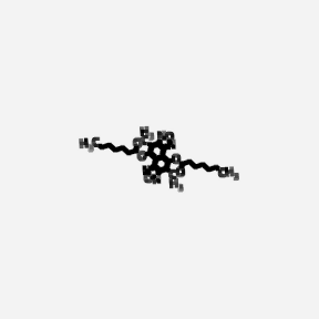 CCCCCCC(=O)Oc1c(C)c2nonc2c2c(OC(=O)CCCCCC)c(C)c3nonc3c12